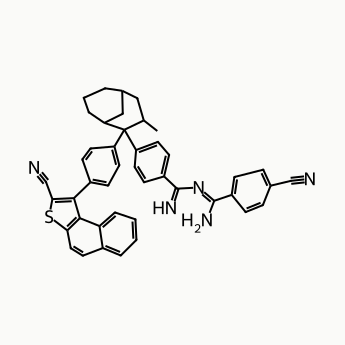 CC1CC2CCCC(C2)C1(c1ccc(C(=N)/N=C(\N)c2ccc(C#N)cc2)cc1)c1ccc(-c2c(C#N)sc3ccc4ccccc4c23)cc1